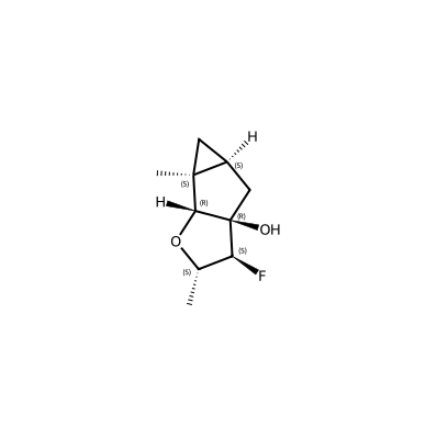 C[C@@H]1O[C@@H]2[C@@]3(C)C[C@H]3C[C@]2(O)[C@H]1F